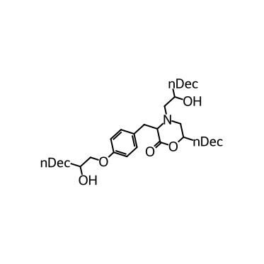 CCCCCCCCCCC(O)COc1ccc(CC2C(=O)OC(CCCCCCCCCC)CN2CC(O)CCCCCCCCCC)cc1